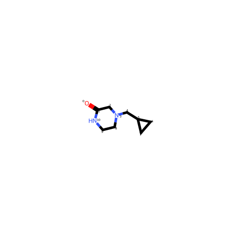 O=C1CN(CC2CC2)CCN1